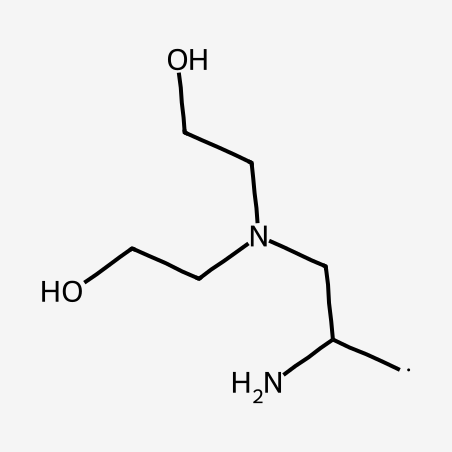 [CH2]C(N)CN(CCO)CCO